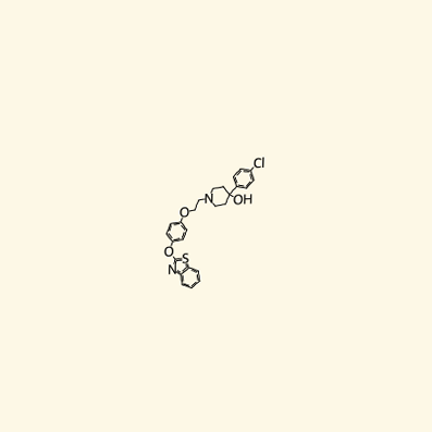 OC1(c2ccc(Cl)cc2)CCN(CCOc2ccc(Oc3nc4ccccc4s3)cc2)CC1